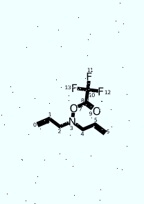 C=CCN(CC=C)OC(=O)C(F)(F)F